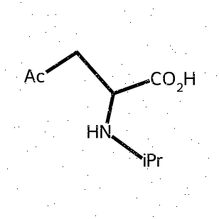 CC(=O)CC(NC(C)C)C(=O)O